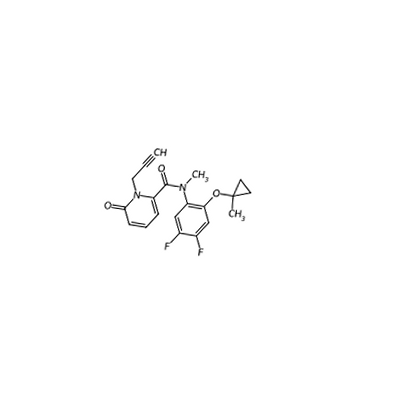 C#CCn1c(C(=O)N(C)c2cc(F)c(F)cc2OC2(C)CC2)cccc1=O